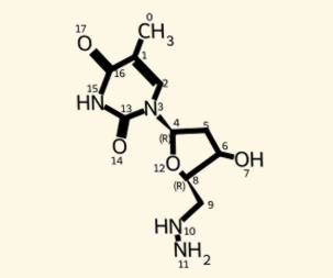 Cc1cn([C@H]2CC(O)[C@@H](CNN)O2)c(=O)[nH]c1=O